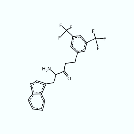 NC(Cc1csc2ccccc12)C(=O)CCc1cc(C(F)(F)F)cc(C(F)(F)F)c1